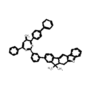 C=C1C=C(c2ccccc2)N=C(c2cccc(-c3ccc4c(c3)C(C)(C)C3Cc5oc6ccccc6c5C=C43)c2)N=C1c1ccc(C2=CC=CCC2)cc1